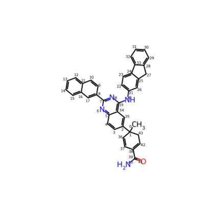 CC1(c2ccc3nc(-c4ccc5ccccc5c4)nc(Nc4ccc5c(c4)Cc4ccccc4-5)c3c2)C=CC(C(N)=O)=CC1